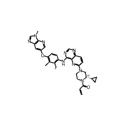 C=CC(=O)N1CCN(c2ccc3ncnc(Nc4ccc(Oc5cnc6c(c5)ncn6C)c(C)c4F)c3n2)C[C@@H]1C1CC1